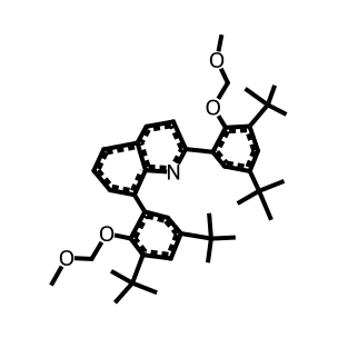 COCOc1c(-c2ccc3cccc(-c4cc(C(C)(C)C)cc(C(C)(C)C)c4OCOC)c3n2)cc(C(C)(C)C)cc1C(C)(C)C